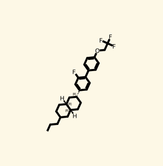 CCCC1CC[C@@H]2C[C@H](c3ccc(-c4ccc(OCC(F)(F)F)cc4)c(F)c3)CC[C@@H]2C1